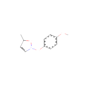 CCOc1ccc(ON2C=CC(C)O2)cc1